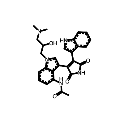 CC(=O)Nc1cccc2c1c(C1=C(c3c[nH]c4ccccc34)C(=O)NC1=O)cn2CC(O)CN(C)C